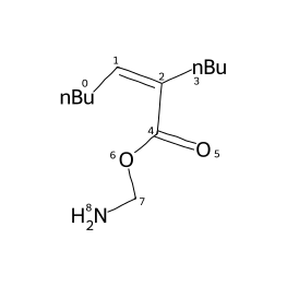 CCCCC=C(CCCC)C(=O)OCN